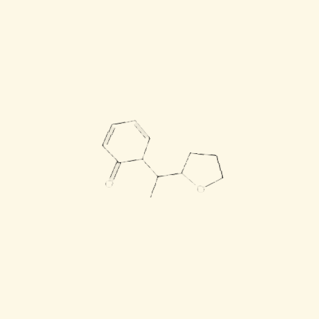 CC(C1CCCO1)C1C=CC=CC1=O